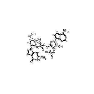 Nc1nc2c(ncn2[C@@H]2O[C@H](CO)[C@@H](O)[C@H]2OP(=O)(O)OC[C@H]2O[C@@H](c3ccc4c(N)ncnn34)[C@H](O)[C@@H]2O[PH](=O)O)c(=O)[nH]1